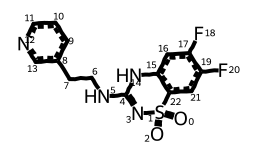 O=S1(=O)N=C(NCCc2cccnc2)Nc2cc(F)c(F)cc21